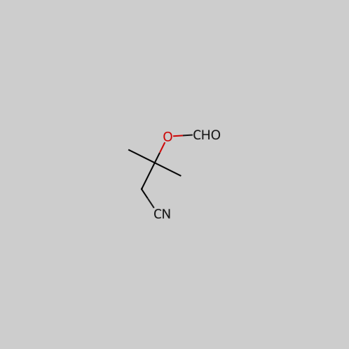 CC(C)(CC#N)OC=O